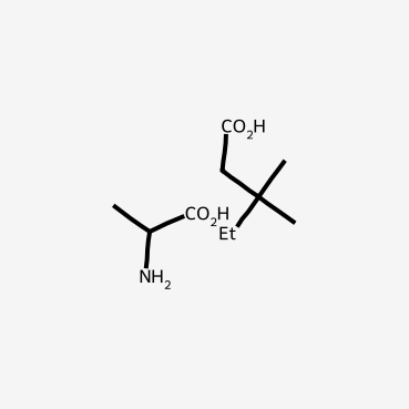 CC(N)C(=O)O.CCC(C)(C)CC(=O)O